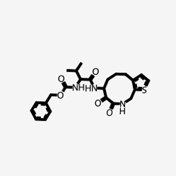 CC(C)C(NC(=O)OCc1ccccc1)C(=O)NC1CCCc2ccsc2CNC(=O)C1=O